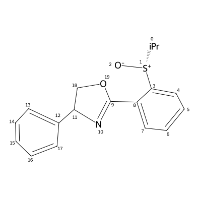 CC(C)[S@@+]([O-])c1ccccc1C1=NC(c2ccccc2)CO1